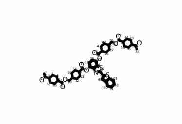 CC(=O)C1CCC(C(=O)OCC2CCC(C(=O)Oc3ccc(OC(=O)C4CCC(COC(=O)C5CCC(C(C)=O)CC5)CC4)c4sc(-c5cc6ccccc6s5)nc34)CC2)CC1